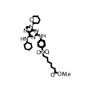 COC(=O)CCCCCCS(=O)(=O)c1ccc(Nc2nc(NC3CCCCC3)c3ncn(C4CCCCO4)c3n2)cc1